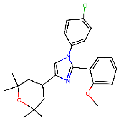 COc1ccccc1-c1nc(C2CC(C)(C)OC(C)(C)C2)cn1-c1ccc(Cl)cc1